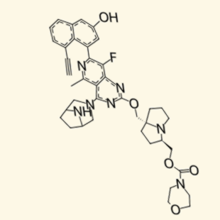 C#Cc1cccc2cc(O)cc(-c3nc(C)c4c(N5CC6CCC(C5)N6)nc(OC[C@]56CCCN5[C@@H](COC(=O)N5CCOCC5)CC6)nc4c3F)c12